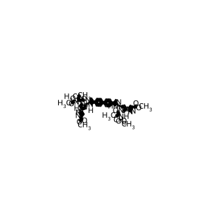 COC(=O)N[C@H](C(=O)N1C[C@@H](n2cc(C(=O)OC)nn2)C[C@H]1c1ncc(-c2ccc(-c3ccc(-c4cnc([C@@H]5C[C@H](n6cc(C(=O)OC)nn6)CN5C(=O)[C@@H](NC(=O)OC)C(C)C)[nH]4)cc3)cc2)[nH]1)C(C)C